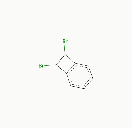 BrC1c2ccccc2C1Br